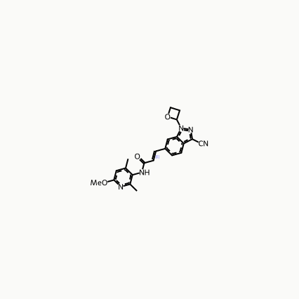 COc1cc(C)c(NC(=O)/C=C/c2ccc3c(C#N)nn(C4CCO4)c3c2)c(C)n1